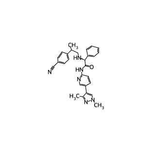 Cc1nn(C)cc1-c1ccc(NC(=O)[C@@H](NCC(C)c2ccc(C#N)cc2)c2ccccc2)nc1